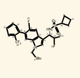 CC(C)(C)Cn1cc([C@H](NS(=O)(=O)C2CCC2)C(F)F)c2cc(F)c(-c3ccccc3C(F)(F)F)cc21